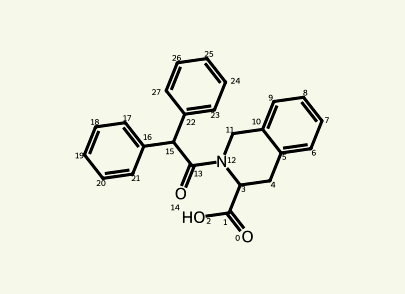 O=C(O)C1Cc2ccccc2CN1C(=O)C(c1ccccc1)c1ccccc1